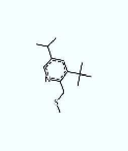 CSCc1ncc(C(C)C)cc1C(C)(C)C